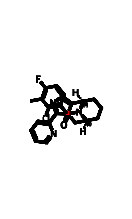 Cc1c(F)ccc(C(=O)N2[C@H]3CCC[C@@H]2c2nnc(-c4ccccn4)n2C3)c1Cl